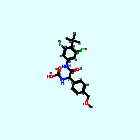 COCc1ccc(C(NC(=O)O)C(=O)Nc2cc(F)c(C(C)(C)C)c(F)c2)cc1